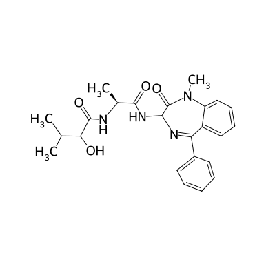 CC(C)C(O)C(=O)N[C@@H](C)C(=O)NC1N=C(c2ccccc2)c2ccccc2N(C)C1=O